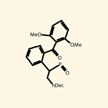 CCCCCCCCCCCC(P=O)c1ccccc1C(=O)c1c(OC)cccc1OC